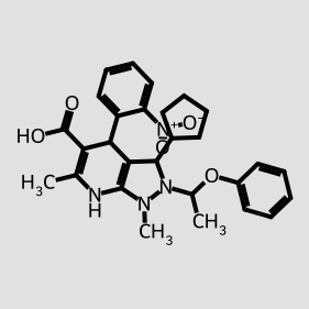 CC1=C(C(=O)O)C(c2ccccc2[N+](=O)[O-])C2=C(N1)N(C)N(C(C)Oc1ccccc1)C2C1CCCC1